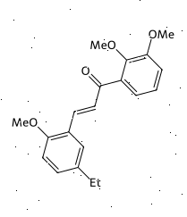 CCc1ccc(OC)c(C=CC(=O)c2cccc(OC)c2OC)c1